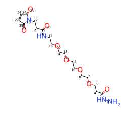 NNC(=O)CCOCCOCCOCCOCCNC(=O)CCN1C(=O)C=CC1=O